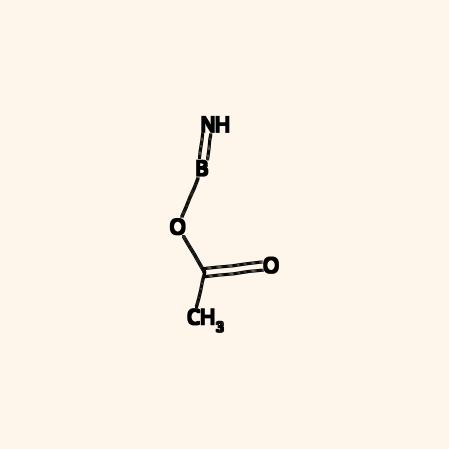 CC(=O)OB=N